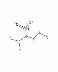 [CH2]C(C)C(CCC)[SH](=O)=O